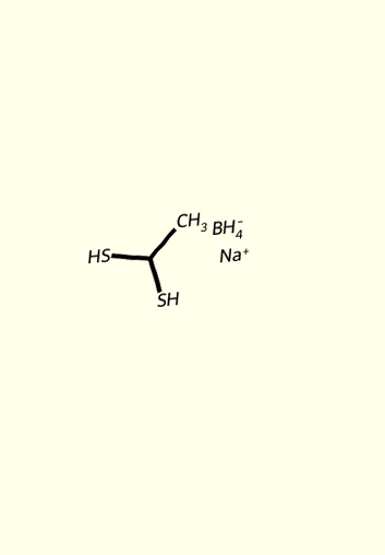 CC(S)S.[BH4-].[Na+]